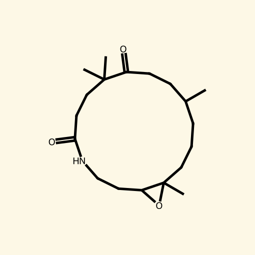 CC1CCCC2(C)OC2CCNC(=O)CCC(C)(C)C(=O)CC1